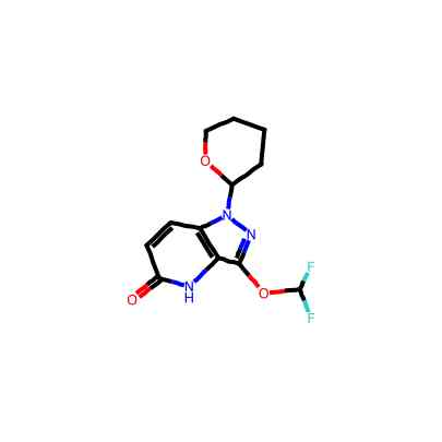 O=c1ccc2c([nH]1)c(OC(F)F)nn2C1CCCCO1